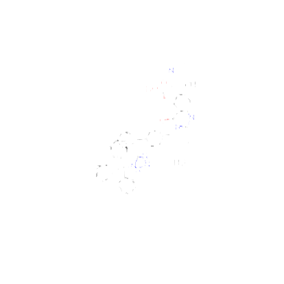 CCCCc1nc2ccc(C3(C(=O)O)ON4CCCC4C3C)cc2c(=O)n1Cc1ccc(-c2ccccc2-c2nnnn2C(c2ccccc2)(c2ccccc2)c2ccccc2)cc1